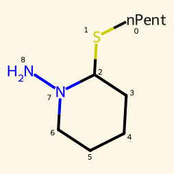 CCCCCSC1CCCCN1N